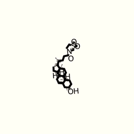 C[C@H](CCC(=O)N1CCS(=O)(=O)C1)[C@H]1CC[C@H]2[C@@H]3CC=C4C[C@@H](O)CC[C@]4(C)[C@H]3CC[C@]12C